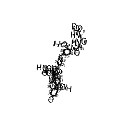 C[C@H](NC(=O)CBr)C(=O)N[C@@H](C)C(=O)Nc1ccc(Cn2ccc([C@@H]3O[C@@H]4C[C@H]5[C@@H]6CCC7=CC(=O)C=C[C@]7(C)[C@H]6[C@@H](O)C[C@]5(C)[C@]4(C(=O)COP(=O)(O)O)O3)c2)cc1CO